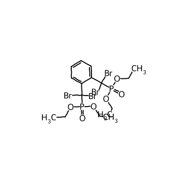 CCOP(=O)(OCC)C(Br)(Br)c1ccccc1C(Br)(Br)P(=O)(OCC)OCC